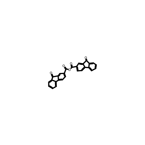 O=C(OC(=O)c1ccc2c(c1)C(=O)c1ccccc1-2)c1ccc2c(c1)C(=O)c1ccccc1-2